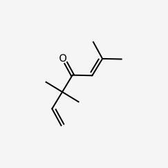 C=CC(C)(C)C(=O)C=C(C)C